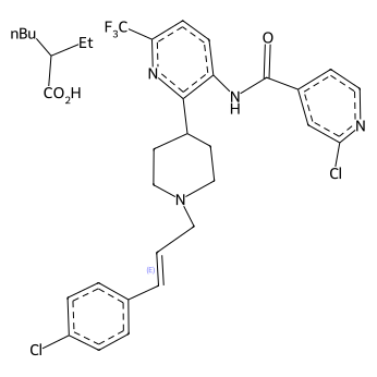 CCCCC(CC)C(=O)O.O=C(Nc1ccc(C(F)(F)F)nc1C1CCN(C/C=C/c2ccc(Cl)cc2)CC1)c1ccnc(Cl)c1